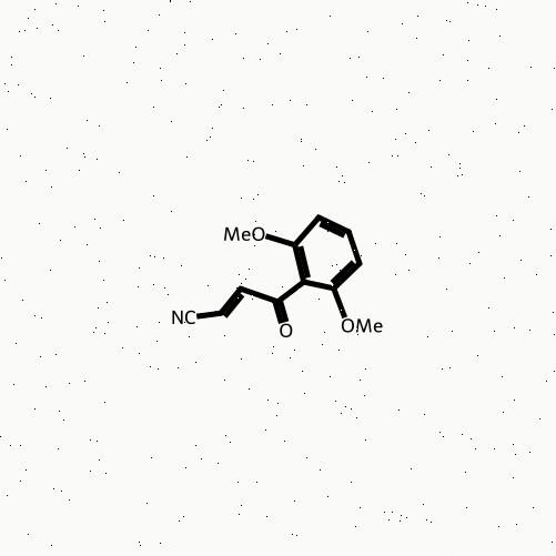 COc1cccc(OC)c1C(=O)/C=C/C#N